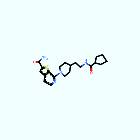 NC(=O)c1cc2ccnc(N3CCC(CCNC(=O)C4CCCC4)CC3)c2s1